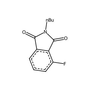 CCCCN1C(=O)c2cccc(F)c2C1=O